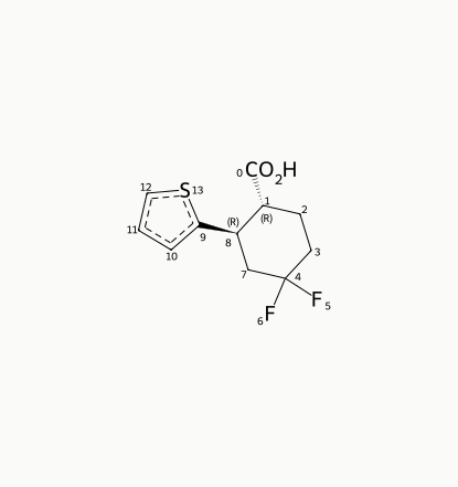 O=C(O)[C@@H]1CCC(F)(F)C[C@H]1c1cccs1